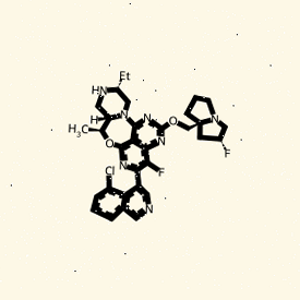 CC[C@@H]1CN2c3nc(OC[C@@]45CCCN4C[C@H](F)C5)nc4c(F)c(-c5cncc6cccc(Cl)c56)nc(c34)O[C@@H](C)[C@@H]2CN1